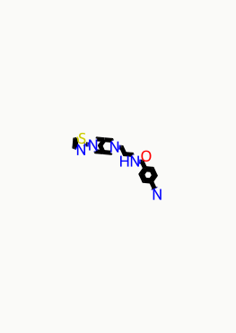 N#Cc1ccc(C(=O)NCCCN2CC3CC(C2)CN(c2nccs2)C3)cc1